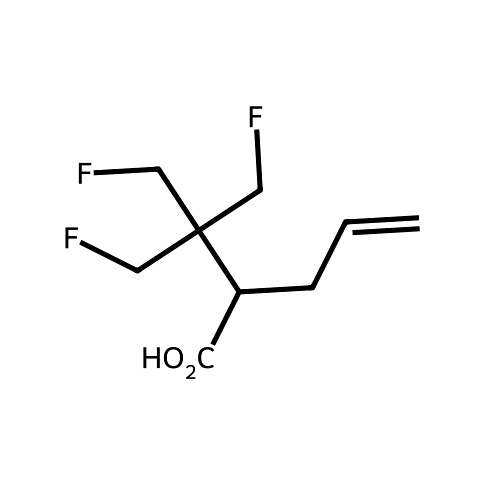 C=CCC(C(=O)O)C(CF)(CF)CF